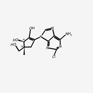 C[C@]1(CO)CC(n2cnc3c(N)nc(Cl)nc32)=C(O)[C@@H]1O